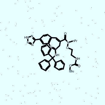 CCCN(OCCNC(=O)OC(C)(C)C)C(=O)C1=Cc2ccc(-c3nn[nH]n3)cc2N=C(NC(c2ccccc2)(c2ccccc2)c2ccccc2)C1